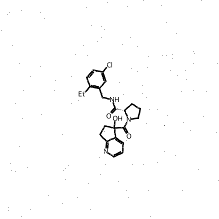 CCc1ccc(Cl)cc1CNC(=O)[C@@H]1CCCN1C(=O)C1(O)CCc2ncccc21